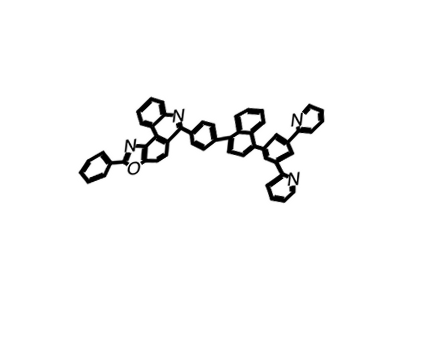 c1ccc(-c2nc3c(ccc4c(-c5ccc(-c6ccc(-c7cc(-c8ccccn8)cc(-c8ccccn8)c7)c7ccccc67)cc5)nc5ccccc5c43)o2)cc1